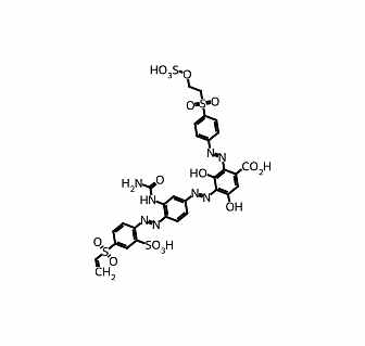 C=CS(=O)(=O)c1ccc(N=Nc2ccc(N=Nc3c(O)cc(C(=O)O)c(N=Nc4ccc(S(=O)(=O)CCOS(=O)(=O)O)cc4)c3O)cc2NC(N)=O)c(S(=O)(=O)O)c1